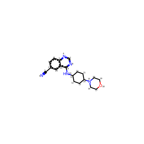 N#Cc1ccc2ncnc(NC3CCC(N4CCOCC4)CC3)c2c1